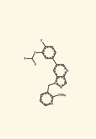 COc1ncccc1Cn1ncc2ncc(-c3ccc(F)c(OC(F)F)c3)cc21